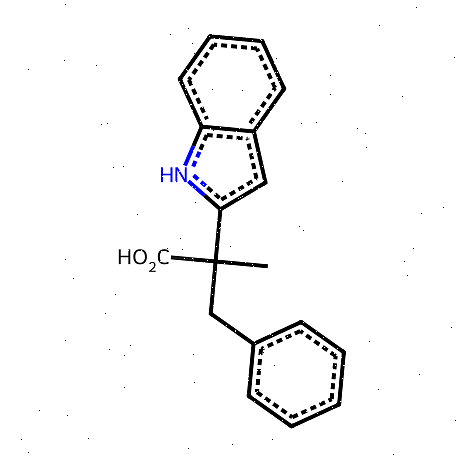 CC(Cc1ccccc1)(C(=O)O)c1cc2ccccc2[nH]1